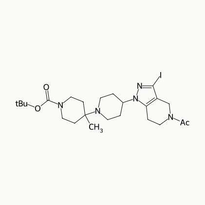 CC(=O)N1CCc2c(c(I)nn2C2CCN(C3(C)CCN(C(=O)OC(C)(C)C)CC3)CC2)C1